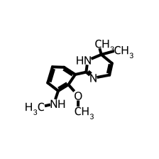 CNc1cccc(C2=NC=CC(C)(C)N2)c1OC